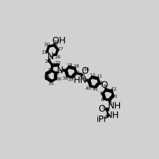 CC(C)NC(=O)Nc1ccc(Oc2ccc(NC(=O)c3ccc(-n4cc(CN5CCC(O)CC5)c5ccccc54)cc3)cc2)cc1